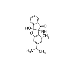 CNC12C(=O)c3ccccc3C1(O)Oc1cc(C(C)C)ccc12